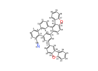 N#Cc1cccc(-c2ccccc2)c1-c1cc(-c2ccc3oc4ccccc4c3c2)cc(-c2ccc3oc4ccccc4c3c2)c1